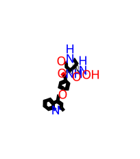 Cc1cc(COc2ccc(C(=O)N[C@@H]3CC(=O)NCC[C@@H]3C(=O)NO)cc2)c2ccccc2n1